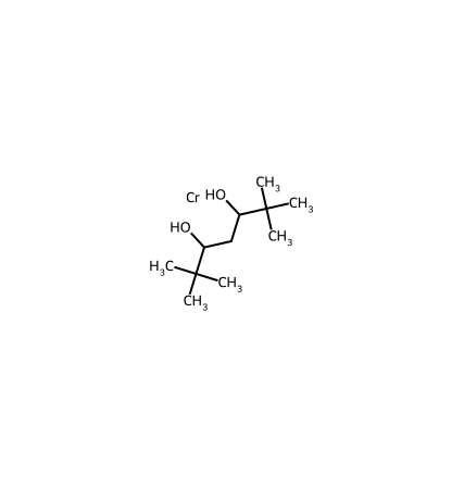 CC(C)(C)C(O)CC(O)C(C)(C)C.[Cr]